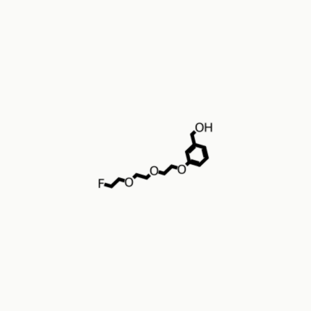 OCc1cccc(OCCOCCOCCF)c1